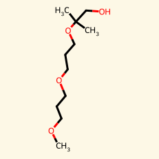 COCCCOCCCOC(C)(C)CO